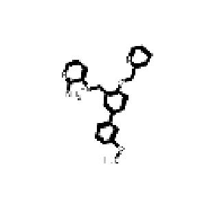 COc1cccc(-c2ccc(OCc3ccccn3)c(CNc3cccnc3N)c2)c1